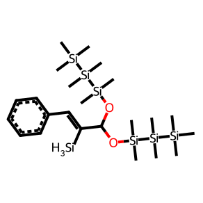 C[Si](C)(C)[Si](C)(C)[Si](C)(C)OC(O[Si](C)(C)[Si](C)(C)[Si](C)(C)C)C([SiH3])=Cc1ccccc1